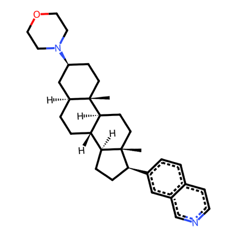 C[C@]12CC[C@H](N3CCOCC3)C[C@@H]1CC[C@@H]1[C@@H]2CC[C@]2(C)[C@@H](c3ccc4ccncc4c3)CC[C@@H]12